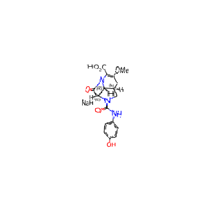 COC1=C(C(=O)O)N2C(=O)[C@@H]3[C@H]2[C@H](C1)CN3C(=O)Nc1ccc(O)cc1.[NaH]